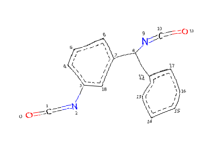 O=C=Nc1cccc(C(N=C=O)c2ccccc2)c1